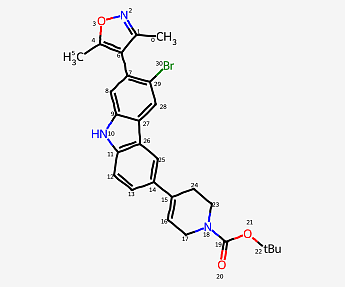 Cc1noc(C)c1-c1cc2[nH]c3ccc(C4=CCN(C(=O)OC(C)(C)C)CC4)cc3c2cc1Br